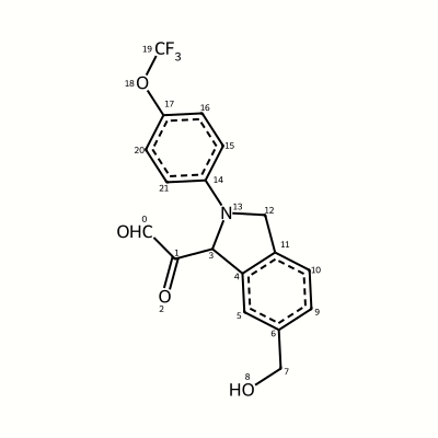 O=CC(=O)C1c2cc(CO)ccc2CN1c1ccc(OC(F)(F)F)cc1